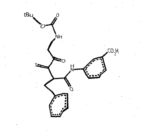 CC(C)(C)OC(=O)NCC(=O)C(=S)C(Cc1ccccc1)C(=O)Nc1cccc(C(=O)O)c1